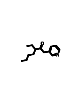 CCCCC(CC)C(=O)Cc1cccnc1